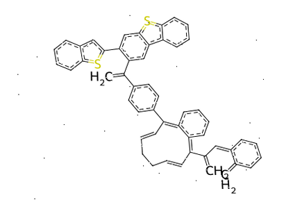 C=C(/C=c1/ccccc1=C)C1=c2\cccc\c2=C(c2ccc(C(=C)c3cc4c(cc3-c3cc5ccccc5s3)sc3ccccc34)cc2)\C=C\CC\C=C\1